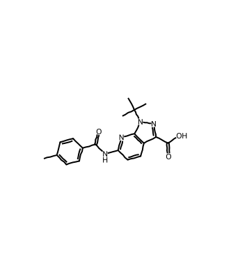 Cc1ccc(C(=O)Nc2ccc3c(C(=O)O)nn(C(C)(C)C)c3n2)cc1